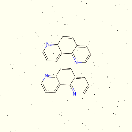 c1cnc2c(c1)ccc1ncccc12.c1cnc2c(c1)ccc1ncccc12